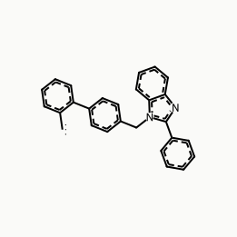 [C]c1ccccc1-c1ccc(Cn2c(-c3ccccc3)nc3ccccc32)cc1